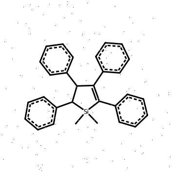 C[Si]1(C)C(c2ccccc2)=C(c2ccccc2)C(c2ccccc2)C1c1ccccc1